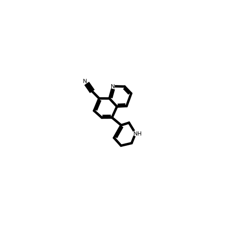 N#Cc1ccc(C2=CCCNC2)c2cccnc12